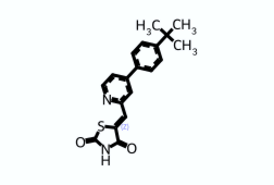 CC(C)(C)c1ccc(-c2ccnc(/C=C3\SC(=O)NC3=O)c2)cc1